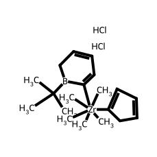 CC(C)(C)B1CC=CC=[C]1[Zr]([CH3])([CH3])([CH3])([CH3])([CH3])[C]1=CC=CC1.Cl.Cl